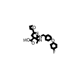 Cc1nn(Cc2ccc(Oc3ccc(F)cc3)cc2)c2nc(-c3ccco3)cc(C(=O)O)c12